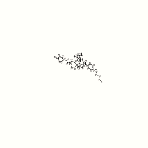 CCCCOc1ccc(N(C)CC(O)C2(O)CCN(CCc3ccc(F)cc3)CC2)cc1.Cl.Cl